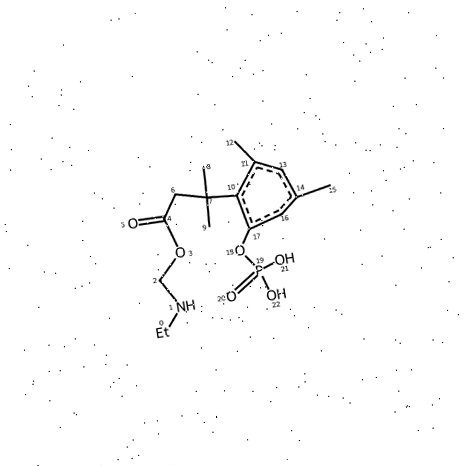 CCNCOC(=O)CC(C)(C)c1c(C)cc(C)cc1OP(=O)(O)O